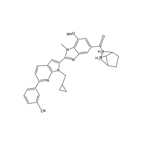 COc1cc(C(=O)N2CC3CCC2[C@@H]3N)cc2nc(-c3cc4ccc(-c5cccc(C#N)c5)nc4n3CC3CC3)n(C)c12